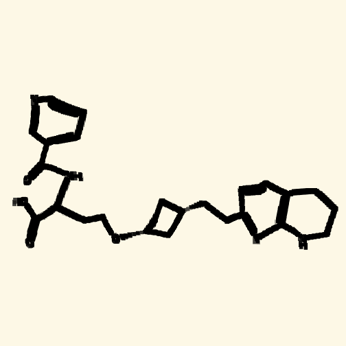 O=C(NC(CCO[C@H]1C[C@@H](CCc2ccc3c(n2)NCCC3)C1)C(=O)O)c1cccnc1